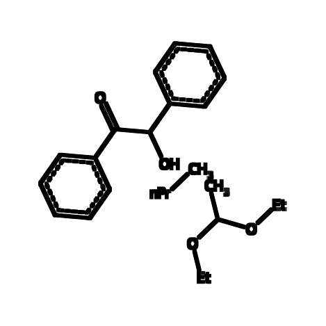 CCCC.CCOC(C)OCC.O=C(c1ccccc1)C(O)c1ccccc1